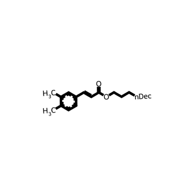 CCCCCCCCCCCCCOC(=O)/C=C/c1ccc(C)c(C)c1